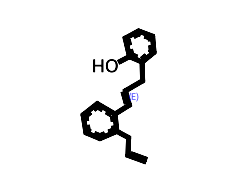 C=CCc1ccccc1/C=C/Cc1ccccc1O